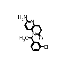 CC(c1cccc(Cl)c1)N1C(=O)CCc2nc(N)ccc21